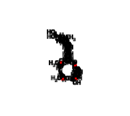 C=C1C[C@@H]2CC[C@]34CC(O)C(O3)[C@@H]3O[C@H]5CC[C@H](CC(=O)C[C@@H]6C[C@@H]7O[C@@H]8C[C@]9(C[C@@H]%10O[C@@]%11(CC[C@@H]%10O9)C[C@H](C)[C@@H]9O[C@@H]%10C[C@@H]([C@@H](O)CO)O[C@@H]%10C[C@@H]9O%11)O[C@@H]8C[C@@H]7O[C@H]6C[C@H]6O[C@@H](CC[C@@H]1O2)C[C@@H](C)C6=C)O[C@@H]5[C@H](O4)C3I